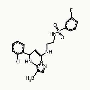 Bc1cnn2c1NC(c1ccccc1Cl)C=C2NCCNS(=O)(=O)c1cccc(F)c1